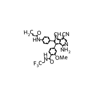 C=CC(=O)Nc1ccc(-c2c(-c3ccc(C(=O)NCC(F)(F)F)c(OC)c3)c3c(N)ncc(C#N)c3n2C)cc1